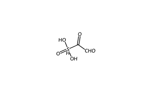 O=CC(=O)[SH](=O)(O)O